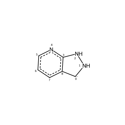 [CH]1NNc2ncccc21